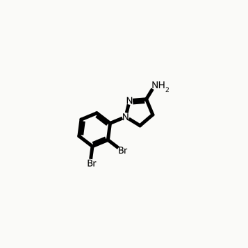 NC1=NN(c2cccc(Br)c2Br)CC1